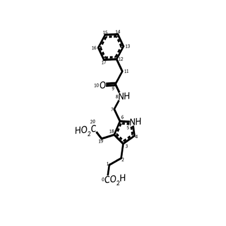 O=C(O)CCc1c[nH]c(CNC(=O)Cc2ccccc2)c1CC(=O)O